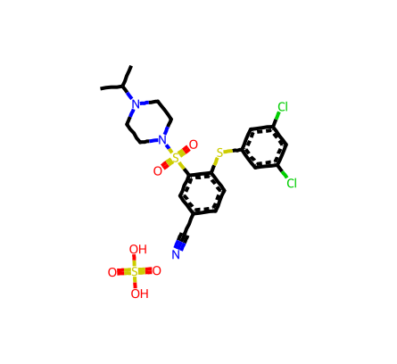 CC(C)N1CCN(S(=O)(=O)c2cc(C#N)ccc2Sc2cc(Cl)cc(Cl)c2)CC1.O=S(=O)(O)O